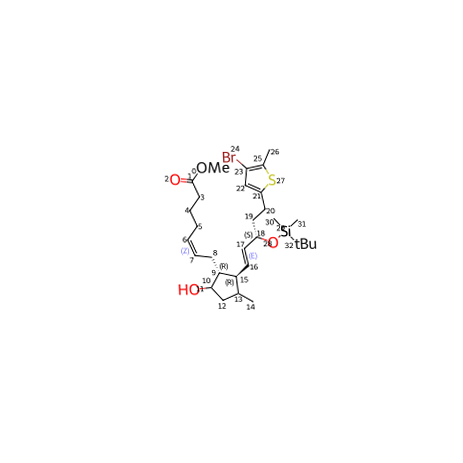 COC(=O)CCC/C=C\C[C@H]1C(O)CC(C)[C@@H]1/C=C/[C@H](CCc1cc(Br)c(C)s1)O[Si](C)(C)C(C)(C)C